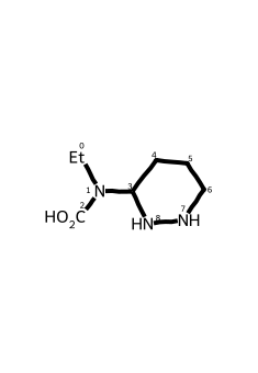 CCN(C(=O)O)C1CCCNN1